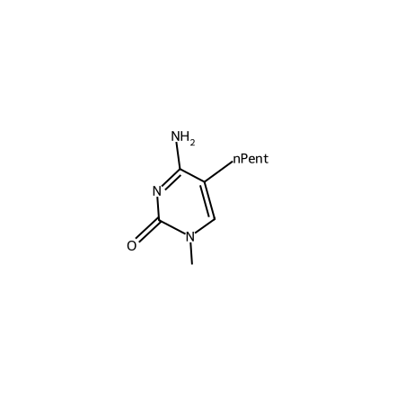 CCCCCc1cn(C)c(=O)nc1N